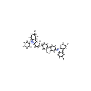 Cc1ccc2c(c1)c1cc(C)ccc1n2-c1ccc(-c2ccc(-c3ccc4c(c3)c3cc(C)ccc3n4-c3ccccc3)cc2C)c(C)c1